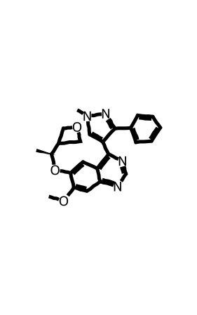 COc1cc2ncnc(-c3cn(C)nc3-c3ccccc3)c2cc1O[C@@H](C)C1COC1